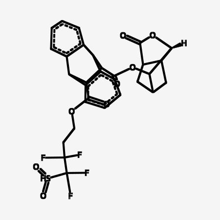 O=C1O[C@@H]2C3CC(CC13)C2OC(=O)C1C2c3ccccc3C(c3ccccc32)C1C(=O)OCCC(F)(F)C(F)(F)[SH](=O)=O